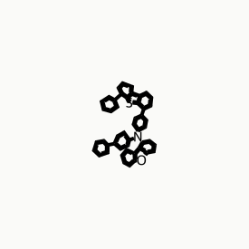 c1ccc(-c2ccc(N(c3ccc(-c4cccc5c4sc4c(-c6ccccc6)cccc45)cc3)c3cccc4oc5ccccc5c34)cc2)cc1